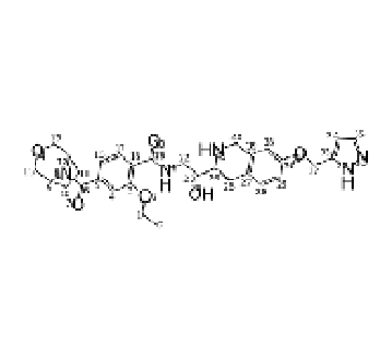 CCOc1cc(C(=O)N2C3CCC2COC3)ccc1C(=O)NC[C@@H](O)[C@@H]1Cc2ccc(OCc3ccn[nH]3)cc2CN1